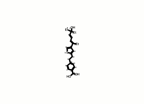 CCC(=CC=CC(O)(CC)CC)c1csc(CCc2ccc(C(O)O)cc2)c1